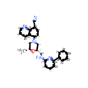 C[C@@H]1CN(c2ccc(C#N)c3ncccc23)C[C@H](CNc2cccc(-c3ccccc3)n2)O1